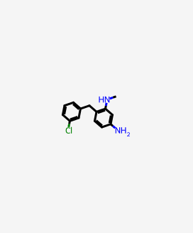 CNc1cc(N)ccc1Cc1cccc(Cl)c1